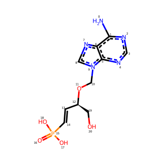 Nc1ncnc2c1ncn2CO[C@H](/C=C/P(=O)(O)O)CO